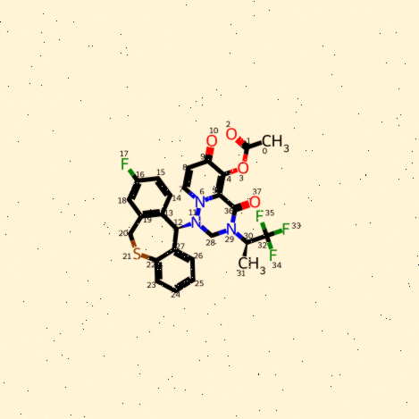 CC(=O)Oc1c2n(ccc1=O)N([C@@H]1c3ccc(F)cc3CSc3ccccc31)CN([C@H](C)C(F)(F)F)C2=O